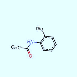 CC(C)(C)c1ccccc1NC(=O)C=O